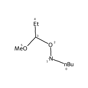 CCCC[N]OC(CC)OC